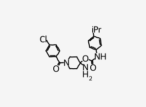 CC(C)c1ccc(NC(=O)OC2(N)CCN(C(=O)c3ccc(Cl)cc3)CC2)cc1